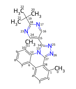 Cc1cccc2c3cccc(C)c3n3c(-c4cnc(C(C)(C)C)nc4)nnc3c12